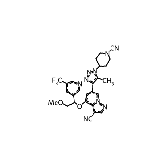 COCC(Oc1cc(-c2nnn(C3CCN(C#N)CC3)c2C)cn2ncc(C#N)c12)c1cncc(C(F)(F)F)c1